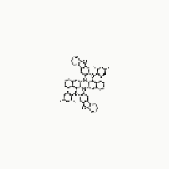 Cc1cc(C)c(B2c3cc4oc5ccccc5c4cc3N3c4cc5ccccc5c5c4N(c4cc6c(cc4B5c4c(C)cc(C)cc4C)oc4ccccc46)c4cc5ccccc5c2c43)c(C)c1